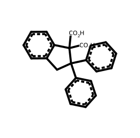 O=C(O)C1(C(=O)O)c2ccccc2CC1(c1ccccc1)c1ccccc1